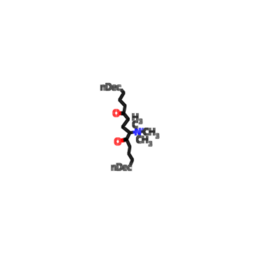 CCCCCCCCCCCCCC(=O)CCC(C(=O)CCCCCCCCCCCCC)[N+](C)(C)C